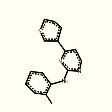 Cc1ccccc1Nc1nccc(-c2cccnc2)n1